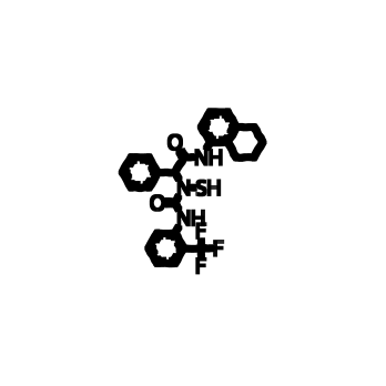 O=C(Nc1cccc2c1CCCC2)C(c1ccccc1)N(S)C(=O)Nc1ccccc1C(F)(F)F